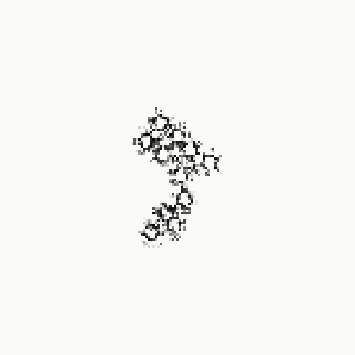 CC1(C)c2ccccc2-c2cccc(N(c3ccc(-c4cccc(-c5ccc6c7c(cccc57)-c5ccccc5-6)c4)cc3)c3cccc4c3-c3ccccc3C43c4ccccc4-c4ccccc43)c21